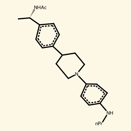 CCCNc1ccc(N2CCC(c3ccc([C@H](C)NC(C)=O)cc3)CC2)cc1